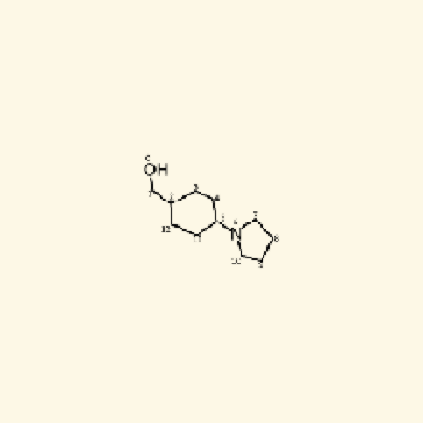 OCC1CCC(N2CCCC2)CC1